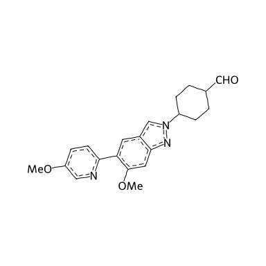 COc1ccc(-c2cc3cn(C4CCC(C=O)CC4)nc3cc2OC)nc1